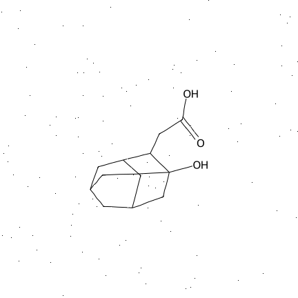 O=C(O)CC1C2CC3CC(C2)CC1(O)C3